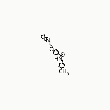 Cc1ccc(CNC(=O)c2ccc(OCCCN3CC4CCCC4C3)cc2)cc1